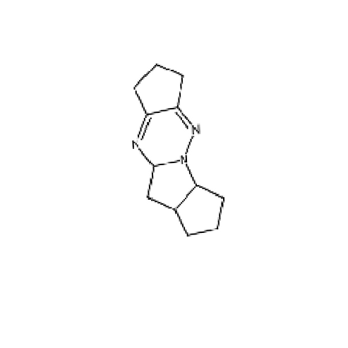 C1CC2=NC3CC4CCCC4N3N=C2C1